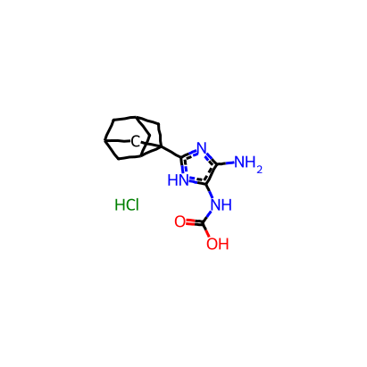 Cl.Nc1nc(C23CC4CC(CC2C4)C3)[nH]c1NC(=O)O